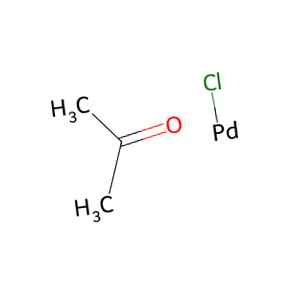 CC(C)=O.[Cl][Pd]